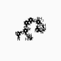 Bc1cc(CNCc2ncc[nH]2)c(OCc2cncc(C#N)c2)cc1OCc1cccc(-c2cccc(COc3cc(OCc4cncc(C#N)c4)c(CNCc4ncc[nH]4)cc3Br)c2C)c1C